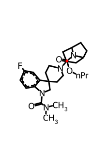 CCCOC(=O)N1C2CCC1CC(N1CCC3(CC1)CN(C(=O)N(C)C)c1ccc(F)cc13)C2